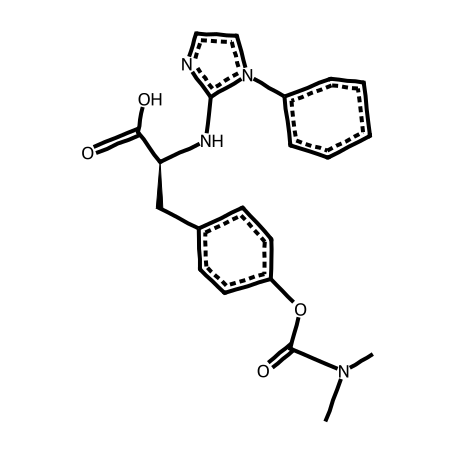 CN(C)C(=O)Oc1ccc(C[C@H](Nc2nccn2-c2ccccc2)C(=O)O)cc1